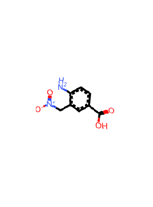 Nc1ccc(C(=O)O)cc1C[N+](=O)[O-]